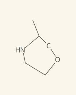 CC1COC[CH]N1